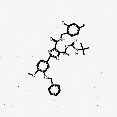 COc1ccc(-c2nc(C(=O)NCc3ccc(F)cc3F)c([C@H](C)OC(=O)NC(C)(C)C)o2)cc1OCc1ccccc1